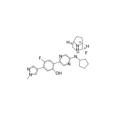 Cn1cc(-c2cc(O)c(-c3cnc(N(C4CCCC4)[C@@H]4C[C@H]5CC[C@H](N5)[C@@H]4F)cn3)cc2F)cn1